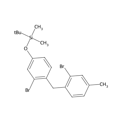 Cc1ccc(Cc2ccc(O[Si](C)(C)C(C)(C)C)cc2Br)c(Br)c1